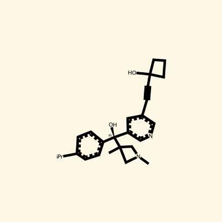 CC(C)c1ccc([C@](O)(c2cncc(C#CC3(O)CCC3)c2)C2(C)CN(C)C2)cc1